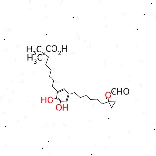 CC(C)(CCCCCCc1cc(CCCCCCC2(OC=O)CC2)cc(O)c1O)C(=O)O